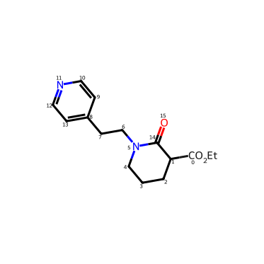 CCOC(=O)C1CCCN(CCc2ccncc2)C1=O